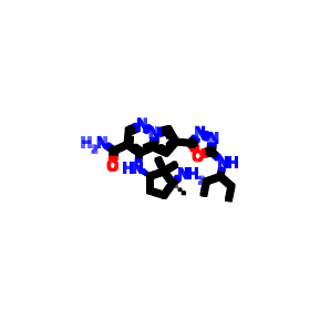 CCC(CC)Nc1nnc(-c2cc3c(N[C@@H]4CC[C@](C)(N)C4(C)C)c(C(N)=O)cnn3c2)o1